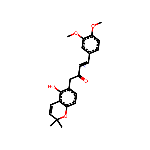 COc1ccc(/C=C/C(=O)Cc2ccc3c(c2O)C=CC(C)(C)O3)cc1OC